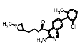 Cc1cccc(Cl)c1-c1ccc2c(C(=O)CCCC3CN(C)C3)c(N)ncc2c1